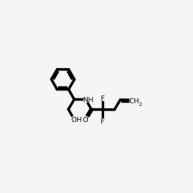 C=CCC(F)(F)C(=O)NC(CO)c1ccccc1